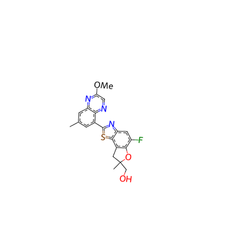 COc1cnc2c(-c3nc4cc(F)c5c(c4s3)CC(C)(CO)O5)cc(C)cc2n1